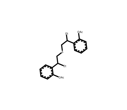 CCC(CSCC(CC)c1ccccc1OC(C)=O)c1ccccc1OC(C)=O